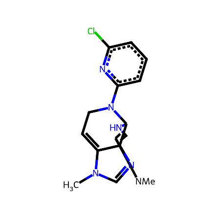 CNC1=CNC2N(c3cccc(Cl)n3)CC=C3N(C)C=NC132